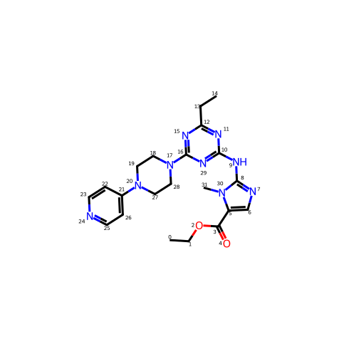 CCOC(=O)c1cnc(Nc2nc(CC)nc(N3CCN(c4ccncc4)CC3)n2)n1C